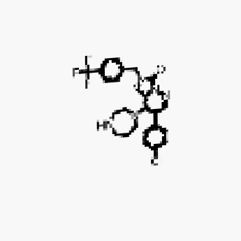 O=c1n(Cc2ccc(C(F)(F)F)cc2)nc2c(N3CCCNCC3)c(-c3ccc(Cl)cc3)cnn12